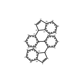 C1=CC(c2ccccc2-c2ccccc2C2C=Cc3ccccc32)c2ccccc21